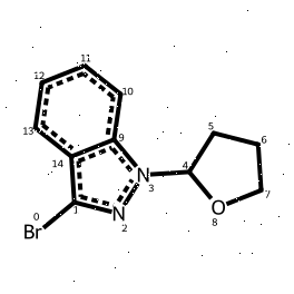 Brc1nn(C2CCCO2)c2ccccc12